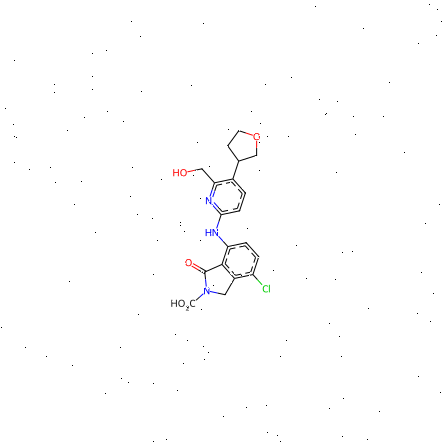 O=C(O)N1Cc2c(Cl)ccc(Nc3ccc(C4CCOC4)c(CO)n3)c2C1=O